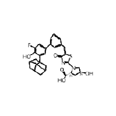 O=C1N=C(N2C[C@@H](O)C[C@@H]2C(=O)O)SC1=Cc1cccc(-c2cc(F)c(O)c(C34CC5CC(CC(C5)C3)C4)c2)c1